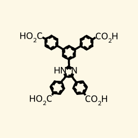 O=C(O)c1ccc(-c2cc(-c3ccc(C(=O)O)cc3)cc(-c3nc(-c4ccc(C(=O)O)cc4)c(-c4ccc(C(=O)O)cc4)[nH]3)c2)cc1